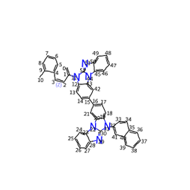 C=C(/C=C\c1ccccc1C)n1c2ccc(-c3ccc4c(c3)n3c5ccccc5nc3n4-c3ccc4ccccc4c3)cc2n2c3ccccc3nc12